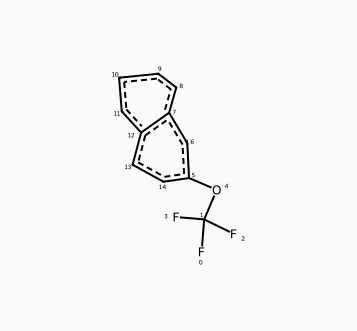 FC(F)(F)Oc1[c]c2ccccc2cc1